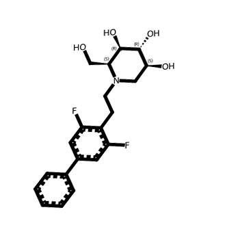 OC[C@H]1[C@@H](O)[C@H](O)[C@@H](O)CN1CCc1c(F)cc(-c2ccccc2)cc1F